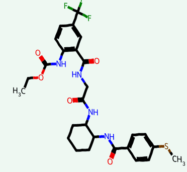 CCOC(=O)Nc1ccc(C(F)(F)F)cc1C(=O)NCC(=O)NC1CCCCC1NC(=O)c1ccc(SC)cc1